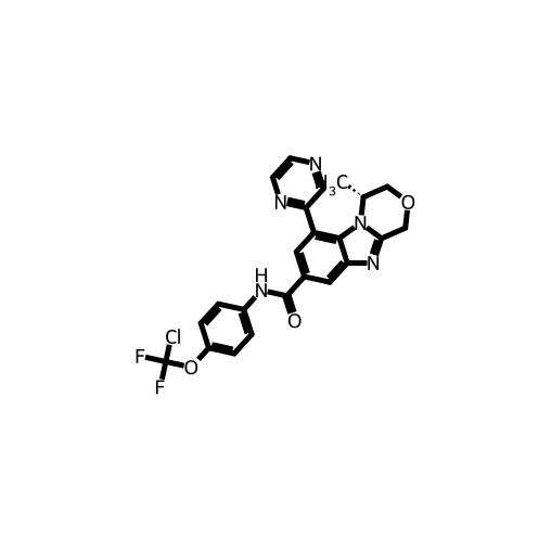 C[C@@H]1COCc2nc3cc(C(=O)Nc4ccc(OC(F)(F)Cl)cc4)cc(-c4cnccn4)c3n21